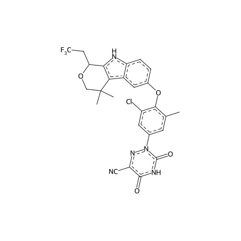 Cc1cc(-n2nc(C#N)c(=O)[nH]c2=O)cc(Cl)c1Oc1ccc2[nH]c3c(c2c1)C(C)(C)COC3CC(F)(F)F